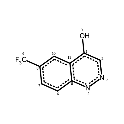 Oc1cnnc2ccc(C(F)(F)F)cc12